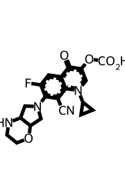 N#Cc1c(N2CC3NCCOC3C2)c(F)cc2c(=O)c(OC(=O)O)cn(C3CC3)c12